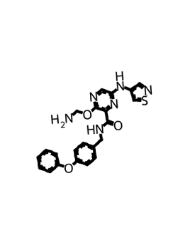 NCOc1ncc(Nc2cnsc2)nc1C(=O)NCc1ccc(Oc2ccccc2)cc1